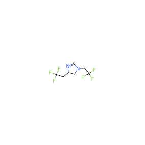 FC(F)(F)CC1[CH]N(CC(F)(F)F)[C]=N1